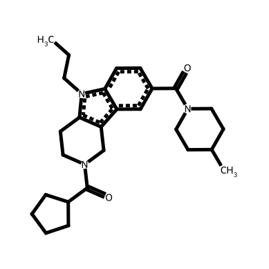 CCCn1c2c(c3cc(C(=O)N4CCC(C)CC4)ccc31)CN(C(=O)C1CCCC1)CC2